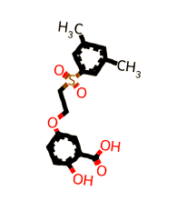 Cc1cc(C)cc(S(=O)(=O)CCOc2ccc(O)c(C(=O)O)c2)c1